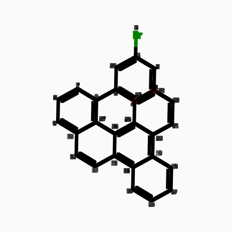 Brc1cccc(-c2cccc3ccc4c5ccccc5c5ccccc5c4c23)c1